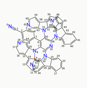 N#Cc1ccc(-c2c(-n3c4ccccc4c4ccncc43)c(-n3c4ccccc4c4ccncc43)nc(-n3c4ccccc4c4ccncc43)c2-n2c3ccccc3c3ccncc32)cc1